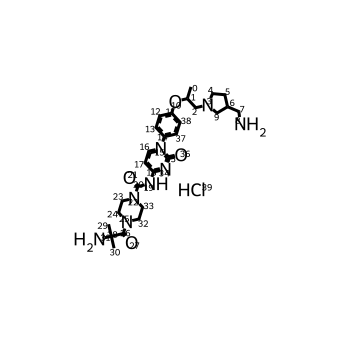 CC(CN1CCC(CN)C1)Oc1ccc(-n2ccc(NC(=O)N3CCN(C(=O)C(C)(C)N)CC3)nc2=O)cc1.Cl